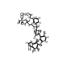 C=CS(=O)(=O)CC(C)(C)CCC[C@](C)(c1cccc(CCC=O)c1)c1nc(-c2cc(Sc3c(F)c(F)c4[nH]ccc4c3Br)ccc2F)n(C)n1